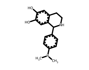 CN(C)c1ccc(C2NCCc3cc(O)c(O)cc32)cc1